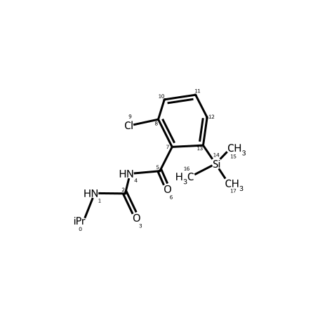 CC(C)NC(=O)NC(=O)c1c(Cl)cccc1[Si](C)(C)C